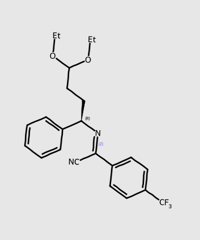 CCOC(CC[C@@H](/N=C(\C#N)c1ccc(C(F)(F)F)cc1)c1ccccc1)OCC